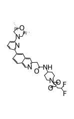 C[C@@H]1CN(c2cccc(-c3ccc4cnc(CC(=O)NC5CCN(S(=O)(=O)CC(F)F)CC5)cc4c3)n2)C[C@H](C)O1